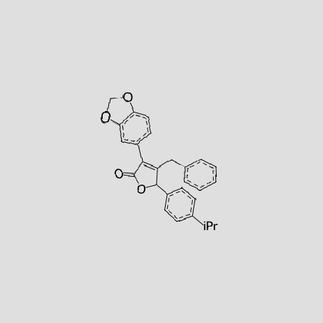 CC(C)c1ccc(C2OC(=O)C(c3ccc4c(c3)OCO4)=C2Cc2ccccc2)cc1